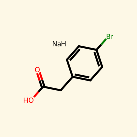 O=C(O)Cc1ccc(Br)cc1.[NaH]